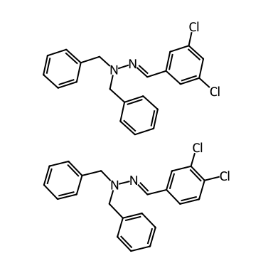 Clc1cc(Cl)cc(C=NN(Cc2ccccc2)Cc2ccccc2)c1.Clc1ccc(C=NN(Cc2ccccc2)Cc2ccccc2)cc1Cl